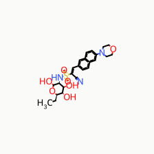 CC[C@H]1OC(O)[C@H](NS(=O)(=O)/C(C#N)=C/c2ccc3cc(N4CCOCC4)ccc3c2)[C@@H](O)[C@@H]1O